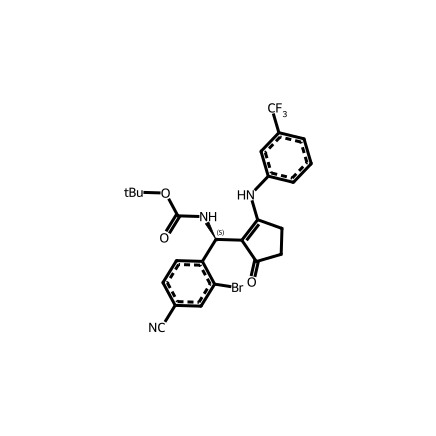 CC(C)(C)OC(=O)N[C@@H](C1=C(Nc2cccc(C(F)(F)F)c2)CCC1=O)c1ccc(C#N)cc1Br